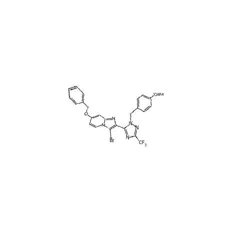 COc1ccc(Cn2nc(C(F)(F)F)nc2-c2nc3cc(OCc4ccccc4)ccn3c2Br)cc1